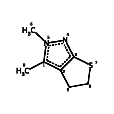 Cc1c2c(nn1C)SCC2